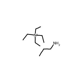 CCCN.CC[N+](CC)(CC)CC